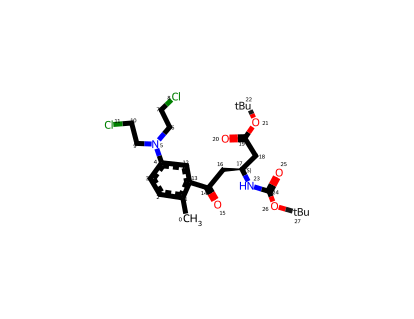 Cc1ccc(N(CCCl)CCCl)cc1C(=O)C[C@@H](CC(=O)OC(C)(C)C)NC(=O)OC(C)(C)C